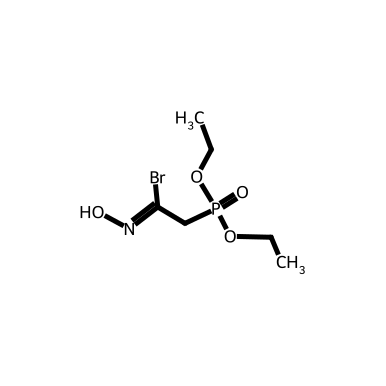 CCOP(=O)(C/C(Br)=N/O)OCC